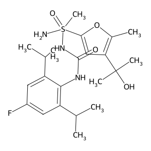 Cc1oc(S(C)(N)(=O)NC(=O)Nc2c(C(C)C)cc(F)cc2C(C)C)cc1C(C)(C)O